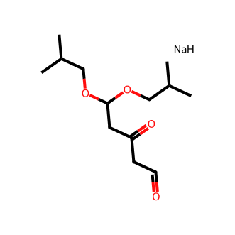 CC(C)COC(CC(=O)CC=O)OCC(C)C.[NaH]